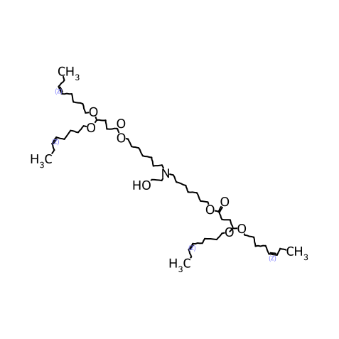 CC/C=C\CCCCOC(CCC(=O)OCCCCCCCN(CCO)CCCCCCCOC(=O)CCC(OCCCC/C=C\CC)OCCCC/C=C\CC)OCCCC/C=C\CC